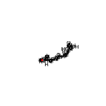 O=C(NC(c1ccccc1)c1cccc(OCc2ccc(C(=O)OCCc3ccc(CNC[C@H](O)c4ccc(O)c5[nH]c(=O)ccc45)cc3)cc2)c1)O[C@H]1CN2CCC1CC2